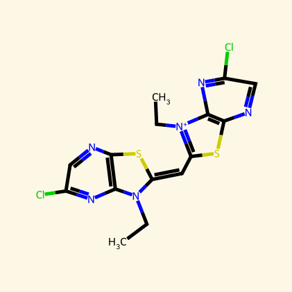 CCN1/C(=C/c2sc3ncc(Cl)nc3[n+]2CC)Sc2ncc(Cl)nc21